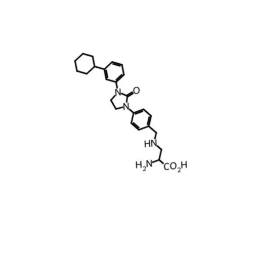 NC(CNCc1ccc(N2CCN(c3cccc(C4CCCCC4)c3)C2=O)cc1)C(=O)O